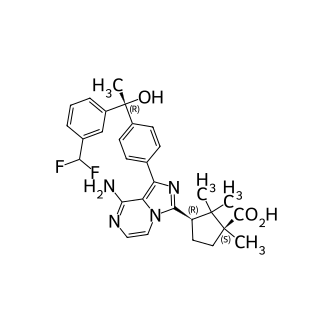 CC1(C)[C@H](c2nc(-c3ccc([C@@](C)(O)c4cccc(C(F)F)c4)cc3)c3c(N)nccn23)CC[C@]1(C)C(=O)O